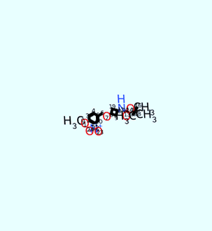 COc1ccc(CO[C@H]2C[C@@H](NC(=O)OC(C)(C)C)C2)cc1[N+](=O)[O-]